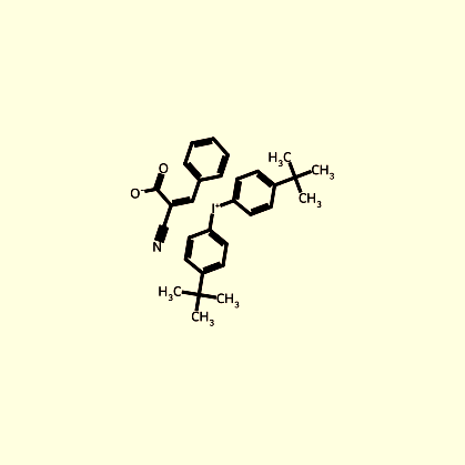 CC(C)(C)c1ccc([I+]c2ccc(C(C)(C)C)cc2)cc1.N#CC(=Cc1ccccc1)C(=O)[O-]